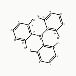 Cc1cccc(C)c1[As](c1c(C)cccc1C)c1c(C)cccc1C